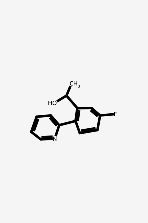 CC(O)c1cc(F)ccc1-c1ccccn1